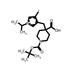 CC(C)n1cc(I)c(CC2(C(=O)O)CCN(C(=O)OC(C)(C)C)CC2)c1